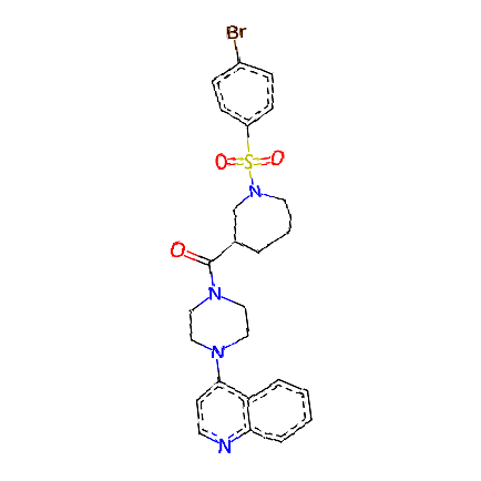 O=C(C1CCCN(S(=O)(=O)c2ccc(Br)cc2)C1)N1CCN(c2ccnc3ccccc23)CC1